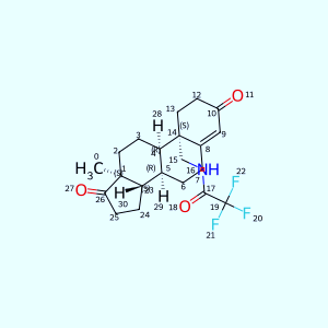 C[C@]12CC[C@@H]3[C@@H](CCC4=CC(=O)CC[C@@]43CNC(=O)C(F)(F)F)[C@@H]1CCC2=O